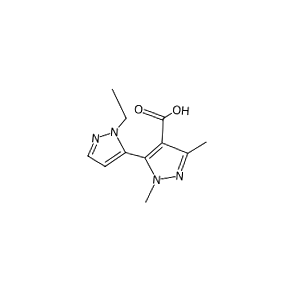 CCn1nccc1-c1c(C(=O)O)c(C)nn1C